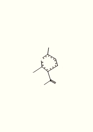 Cc1ccc(C(=O)O)c(Cl)n1.Cl